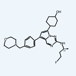 C[C@@H](CCF)Nc1ncc2c(-c3ccc(CN4CCOCC4)cc3)cc(C3CCC(O)CC3)n2n1